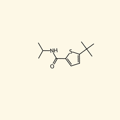 CC(C)NC(=O)c1ccc(C(C)(C)C)s1